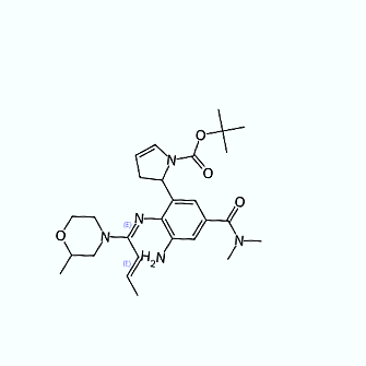 C/C=C/C(=N\c1c(N)cc(C(=O)N(C)C)cc1C1CC=CN1C(=O)OC(C)(C)C)N1CCOC(C)C1